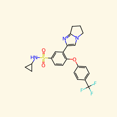 O=S(=O)(NC1CC1)c1ccc(Oc2ccc(C(F)(F)F)cc2)c(-c2cn3c(n2)CCC3)c1